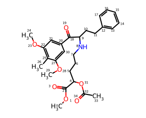 COC(=O)C(CCCNC(CCc1ccccc1)C(=O)c1cc(OC)c(C)c(OC)c1)OC(C)=O